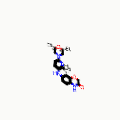 CC[C@@H]1CN(c2ccc(Nc3ccc4c(c3)OCC(=O)N4)c(C)n2)C[C@H](CC)O1